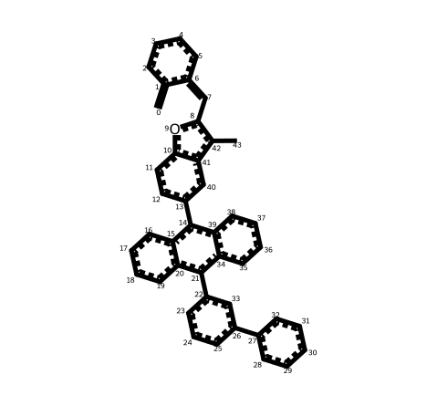 C=c1cccc/c1=C/c1oc2ccc(-c3c4ccccc4c(-c4cccc(-c5ccccc5)c4)c4ccccc34)cc2c1C